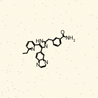 CCc1cccc(-c2[nH]c(Cc3cccc(C(N)=O)c3)nc2-c2ccc3nccnc3c2)n1